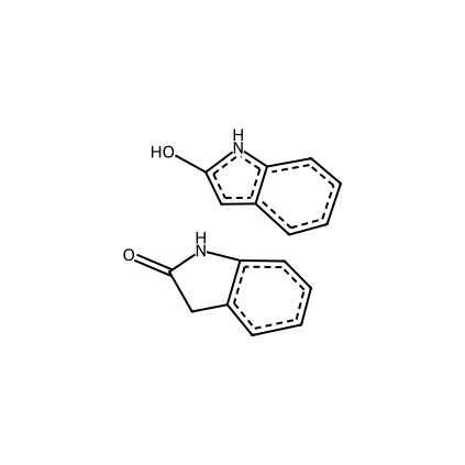 O=C1Cc2ccccc2N1.Oc1cc2ccccc2[nH]1